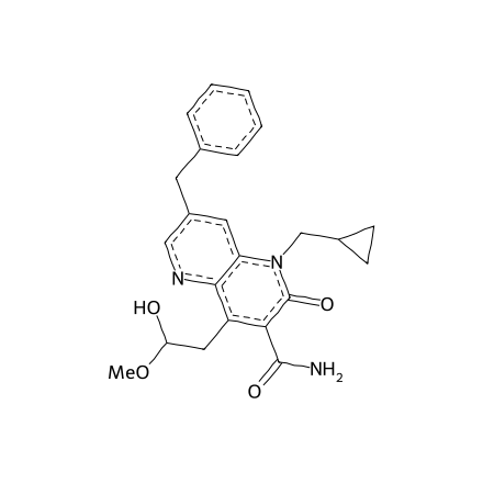 COC(O)Cc1c(C(N)=O)c(=O)n(CC2CC2)c2cc(Cc3ccccc3)cnc12